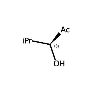 CC(=O)[C@@H](O)C(C)C